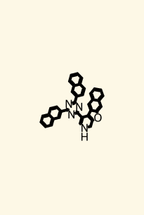 C1=C(c2nc(-c3ccc4ccccc4c3)nc(-c3ccc4ccccc4c3)n2)c2c(oc3cc4ccccc4cc23)CN1